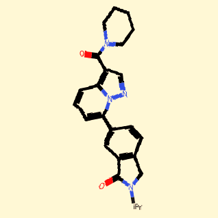 CC(C)N1Cc2ccc(-c3cccc4c(C(=O)N5CCCCC5)cnn34)cc2C1=O